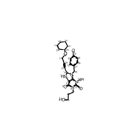 CC(C)n1c2c(c(=O)n(CCCO)c1=O)NC(C#CCOC1CCCCC1)N2Cc1ccc(Cl)cc1